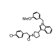 COc1cccc(Cn2cc(C3CCN(C(=O)Cc4ccc(Cl)cc4)C3)c3ccccc32)c1